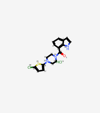 Cl.O=C(c1cccc2cc[nH]c12)N1CCN(c2ccc(Cl)s2)CC1